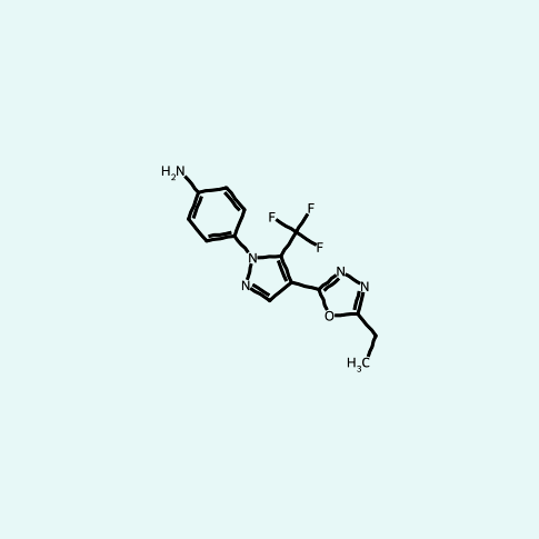 CCc1nnc(-c2cnn(-c3ccc(N)cc3)c2C(F)(F)F)o1